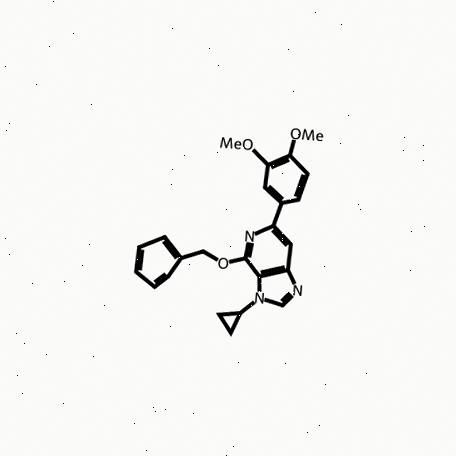 COc1ccc(-c2cc3ncn(C4CC4)c3c(OCc3ccccc3)n2)cc1OC